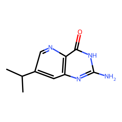 CC(C)c1cnc2c(=O)[nH]c(N)nc2c1